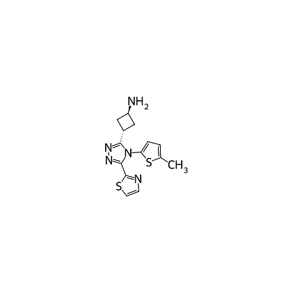 Cc1ccc(-n2c(-c3nccs3)nnc2[C@H]2C[C@H](N)C2)s1